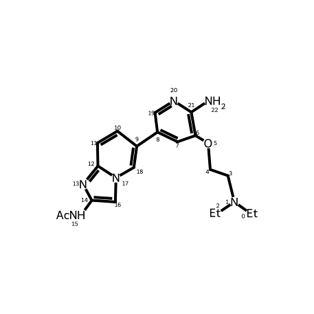 CCN(CC)CCOc1cc(-c2ccc3nc(NC(C)=O)cn3c2)cnc1N